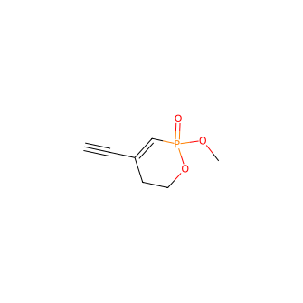 C#CC1=CP(=O)(OC)OCC1